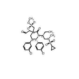 CC[C@@H](CN(C)S(=O)(=O)C1CC1)N1C(=O)[C@@](CC=O)(CS(=O)(=O)OC)C[C@H](c2cccc(Cl)c2)[C@H]1c1ccc(Cl)cc1